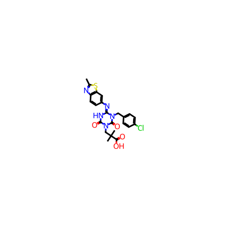 Cc1nc2ccc(/N=c3\[nH]c(=O)n(CC(C)(C)C(=O)O)c(=O)n3Cc3ccc(Cl)cc3)cc2s1